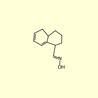 ON=CC1CCCC2CC=CC=C12